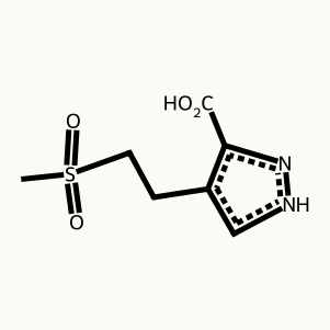 CS(=O)(=O)CCc1c[nH]nc1C(=O)O